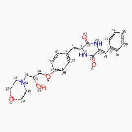 O=c1[nH]/c(=C\c2ccc(OCC(O)CN3CCOCC3)cc2)c(=O)[nH]/c1=C\c1ccccc1